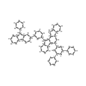 c1ccc(-c2nc(-c3ccccc3)nc(-c3cc4c5ccccc5oc4c4c3c3ccccc3n4-c3cccc(-c4ccc5c6ccccc6n(-c6ccccc6)c5c4)c3)n2)cc1